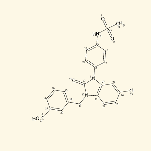 CS(=O)(=O)Nc1ccc(-n2c(=O)n(Cc3cccc(C(=O)O)c3)c3ccc(Cl)cc32)cc1